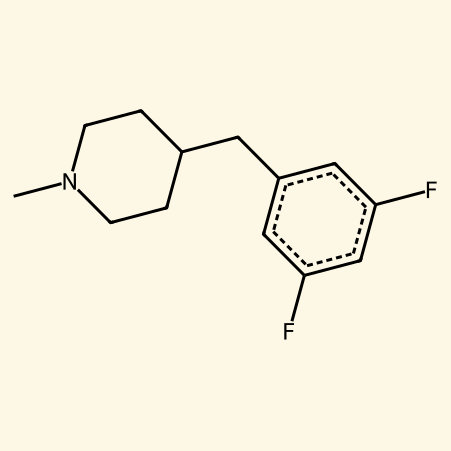 CN1CCC(Cc2cc(F)cc(F)c2)CC1